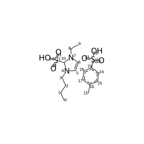 CCCCN1C=CN(CC)C1S(=O)(=O)O.Cc1ccc(S(=O)(=O)O)cc1